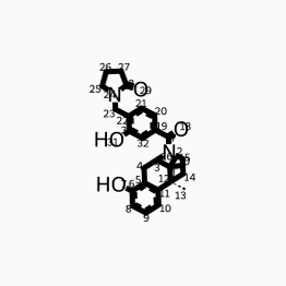 CC1(C)C2Cc3c(O)cccc3[C@]1(C)CCN2C(=O)c1ccc(CN2CCCC2=O)c(O)c1